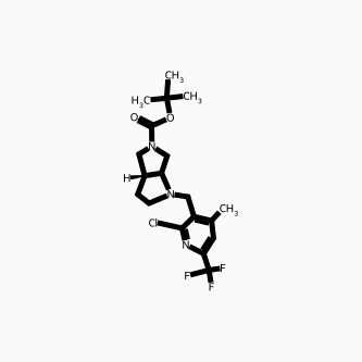 Cc1cc(C(F)(F)F)nc(Cl)c1CN1CC[C@@H]2CN(C(=O)OC(C)(C)C)CC21